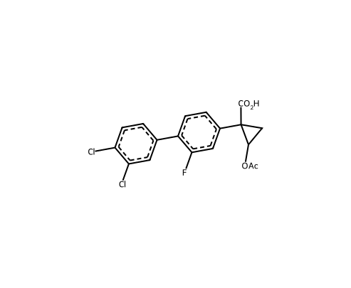 CC(=O)OC1CC1(C(=O)O)c1ccc(-c2ccc(Cl)c(Cl)c2)c(F)c1